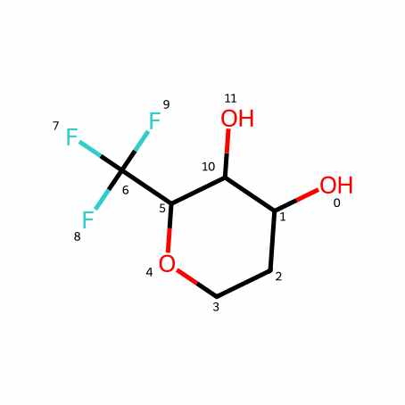 OC1CCOC(C(F)(F)F)C1O